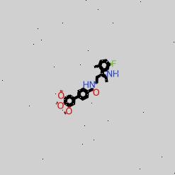 COc1cc(-c2ccc(C(=O)NCCc3c(C)[nH]c4c(F)ccc(C)c34)cc2)cc(OC)c1OC